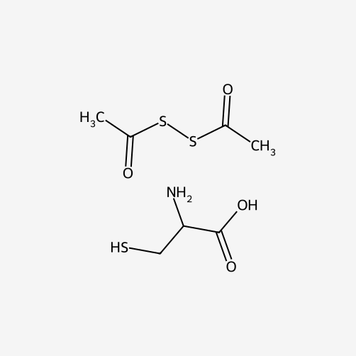 CC(=O)SSC(C)=O.NC(CS)C(=O)O